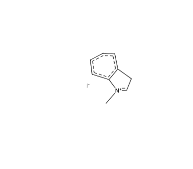 C[N+]1=CCc2ccccc21.[I-]